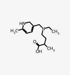 CCN(CCC(C)C(=O)O)CC1=CC=C(C)NC1